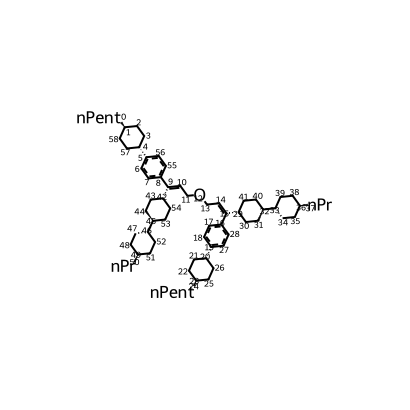 CCCCC[C@H]1CC[C@H](c2ccc(C(=CCOCC=C(c3ccc([C@H]4CC[C@H](CCCCC)CC4)cc3)[C@H]3CC[C@H]([C@H]4CC[C@H](CCC)CC4)CC3)[C@H]3CC[C@H]([C@H]4CC[C@H](CCC)CC4)CC3)cc2)CC1